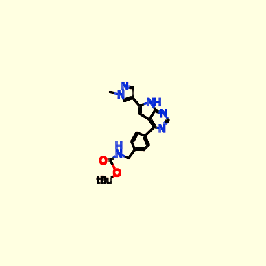 Cn1cc(-c2cc3c(-c4ccc(CNC(=O)OC(C)(C)C)cc4)ncnc3[nH]2)cn1